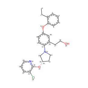 CCc1ccccc1Oc1ccc(N2CC[C@H](Oc3ncccc3Cl)C2)c(CCO)c1